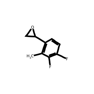 Cc1c(C2CO2)ccc(F)c1F